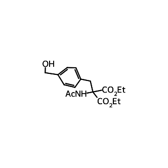 CCOC(=O)C(Cc1ccc(CO)cc1)(NC(C)=O)C(=O)OCC